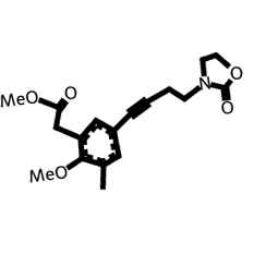 COC(=O)Cc1cc(C#CCCN2CCOC2=O)cc(C)c1OC